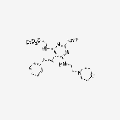 CCOC(=O)CNc1nc(SC)nc(NCCN2CCOCC2)c1/N=N/c1ccccc1